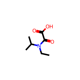 CCN(C(=O)C(=O)O)C(C)C